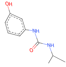 CC(C)NC(=O)Nc1cccc(O)c1